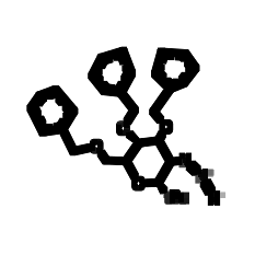 CC(C)(C)[C@H]1OC(COCc2ccccc2)[C@@H](OCc2ccccc2)C(OCc2ccccc2)C1N=[N+]=[N-]